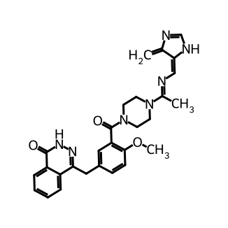 C=c1nc[nH]/c1=C/N=C(\C)N1CCN(C(=O)c2cc(Cc3n[nH]c(=O)c4ccccc34)ccc2OC)CC1